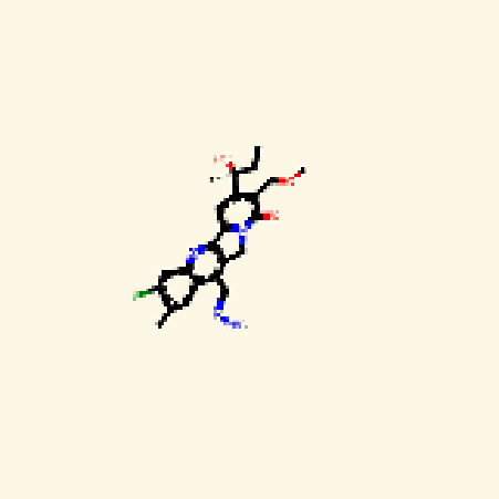 CC[C@](C)(O)c1cc2n(c(=O)c1COC)Cc1c-2nc2cc(F)c(C)cc2c1/C=N/N